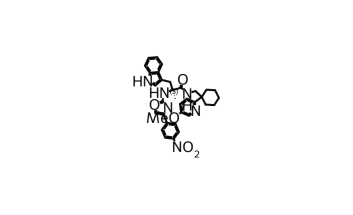 COc1ccc(C2(CNC(=O)[C@](C)(Cc3c[nH]c4ccccc34)Nc3nc(-c4ccc([N+](=O)[O-])cc4)co3)CCCCC2)nc1